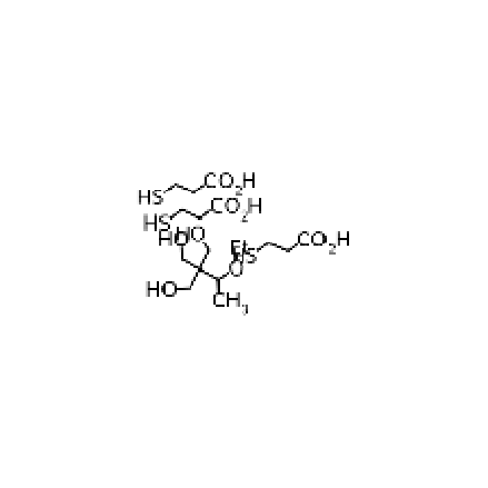 CCOC(C)C(CO)(CO)CO.O=C(O)CCS.O=C(O)CCS.O=C(O)CCS